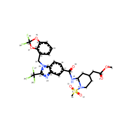 COC(=O)CC1CCN(S(C)(=O)=O)C(NC(=O)c2ccc3c(c2)nc(C(F)(F)F)n3Cc2cccc3c2OC(F)(F)O3)C1